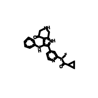 O=C1CNCc2[nH]c(-c3ccnc(N(F)C(=O)C4CC4)c3)c(Nc3ccccc3)c21